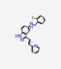 Fc1ccccc1CNc1ccc2[nH]nc(/C=C/c3ccccn3)c2c1